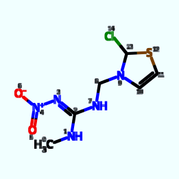 CNC(=N[N+](=O)[O-])NCN1C=CSC1Cl